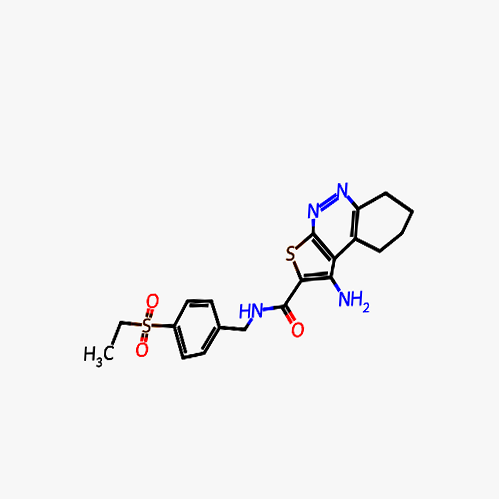 CCS(=O)(=O)c1ccc(CNC(=O)c2sc3nnc4c(c3c2N)CCCC4)cc1